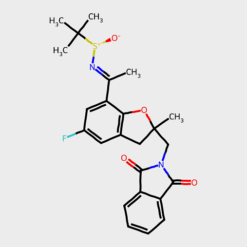 C/C(=N\[S@+]([O-])C(C)(C)C)c1cc(F)cc2c1OC(C)(CN1C(=O)c3ccccc3C1=O)C2